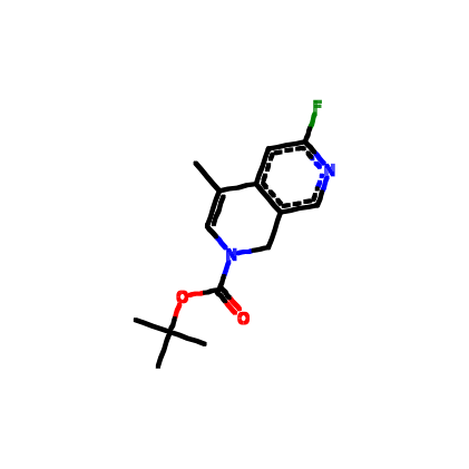 CC1=CN(C(=O)OC(C)(C)C)Cc2cnc(F)cc21